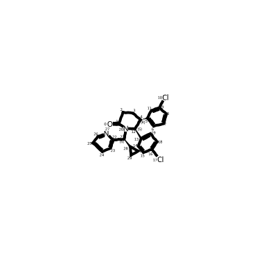 O=C1CC[C@H](c2cccc(Cl)c2)[C@@H](c2ccc(Cl)cc2)N1[C@H](c1ccccn1)C1CC1